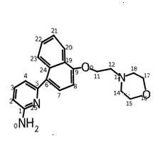 Nc1cccc(-c2ccc(OCCN3CCOCC3)c3ccccc23)n1